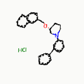 Cl.c1ccc(-c2cccc(N3CCC[C@@H](OCc4ccc5ccccc5c4)C3)c2)cc1